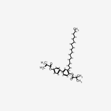 C=C(C)C(=O)Oc1ccc(-c2ccc(OC(=O)C(=C)C)c(CCCCCCCCCCCCCCCC)c2)cc1